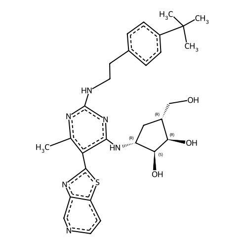 Cc1nc(NCCc2ccc(C(C)(C)C)cc2)nc(N[C@@H]2C[C@H](CO)[C@@H](O)[C@H]2O)c1-c1nc2cnccc2s1